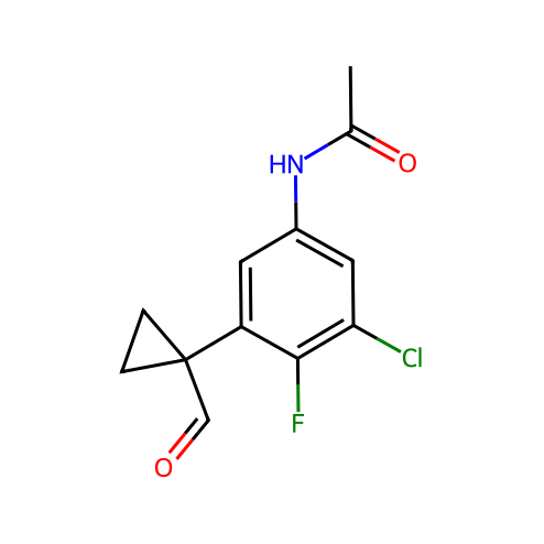 CC(=O)Nc1cc(Cl)c(F)c(C2(C=O)CC2)c1